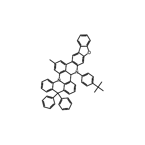 Cc1cc2c3c(c1)N1c4ccccc4C(c4ccccc4)(c4ccccc4)c4cccc(c41)C3N(c1ccc(C(C)(C)C)cc1)c1cc3oc4ccccc4c3cc1-2